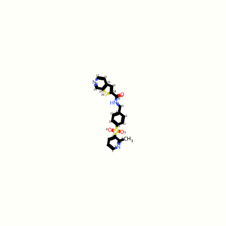 Cc1ncccc1S(=O)(=O)c1ccc(CNC(=O)c2cc3ccncc3s2)cc1